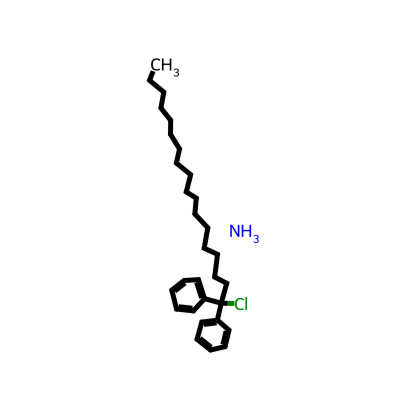 CCCCCCCCCCCCCCCCCC(Cl)(c1ccccc1)c1ccccc1.N